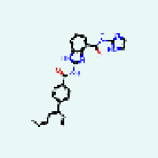 C=C/C(=C\C=C/C)c1ccc(C(=O)Nc2nc3c(C(=O)Nc4ncc[nH]4)cccc3[nH]2)cc1